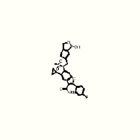 CNC(=O)c1c(-c2ccc(F)cc2)oc2cc(N(Cc3ccc4c(c3)B(O)OC4)S(C)(=O)=O)c(C3CC3)cc12